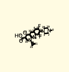 CN1CCN(c2c(F)cc3cc4c(=O)c(C(=O)O)cn(C5CC5)c4nc3c2F)CC1